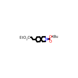 CCOC(=O)CCC1CCC2(CC1)CCN(C(=O)OC(C)(C)C)CC2